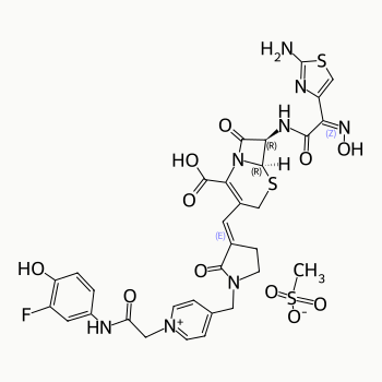 CS(=O)(=O)[O-].Nc1nc(/C(=N/O)C(=O)N[C@@H]2C(=O)N3C(C(=O)O)=C(/C=C4\CCN(Cc5cc[n+](CC(=O)Nc6ccc(O)c(F)c6)cc5)C4=O)CS[C@H]23)cs1